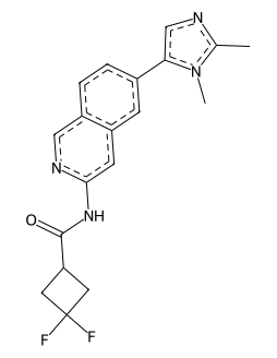 Cc1ncc(-c2ccc3cnc(NC(=O)C4CC(F)(F)C4)cc3c2)n1C